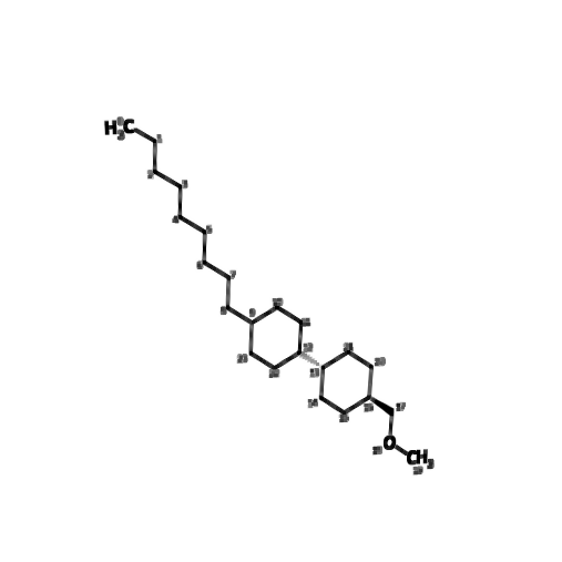 CCCCCCCCCC1CCC([C@H]2CC[C@H](COC)CC2)CC1